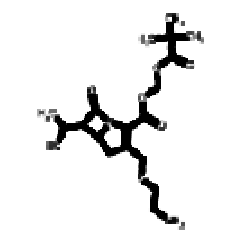 CC(O)C1C(=O)N2C(C(=O)OCOC(=O)C(C)(C)C)=C(CSCCN)CC12